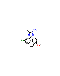 CCc1cc(C2(c3cccc(Br)c3)N=C(C)C(N)=N2)ccc1OC